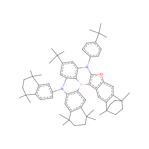 CC(C)(C)c1ccc(N2c3cc(C(C)(C)C)cc4c3B(c3cc5c(cc3N4c3ccc4c(c3)C(C)(C)CCC4(C)C)C(C)(C)CCC5(C)C)c3c2oc2cc4c(cc32)C2(C)CCC4(C)CC2)cc1